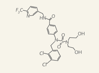 O=C(NCc1ccc(C(F)(F)F)nc1)c1ccc(N(Cc2cccc(Cl)c2Cl)S(=O)(=O)N(CCO)CCO)cc1